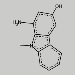 Cn1c2ccccc2c2cc(O)cc(N)c21